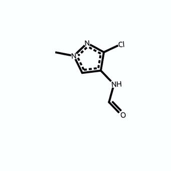 Cn1cc(NC=O)c(Cl)n1